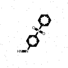 N=Nc1ccc(S(=O)(=O)c2ccccc2)cc1